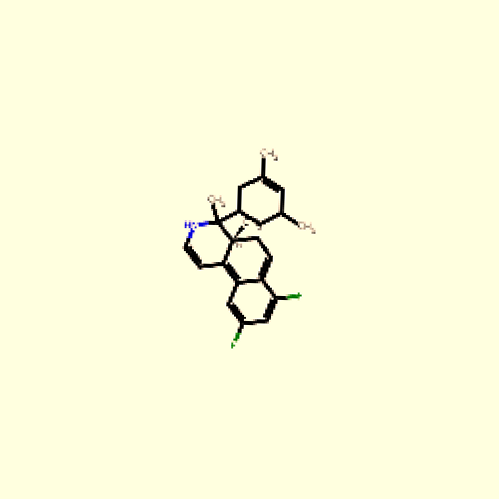 CC1=CC(C)CC(C2(C)NC=CC3=c4cc(F)cc(F)c4=CC[C@]32C)C1